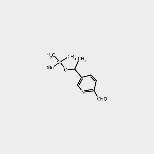 CC(O[Si](C)(C)C(C)(C)C)c1ccc(C=O)nc1